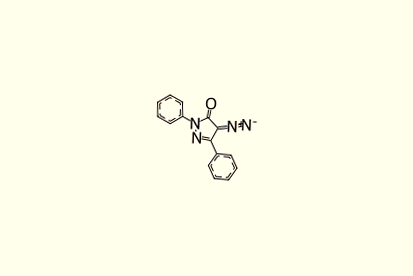 [N-]=[N+]=C1C(=O)N(c2ccccc2)N=C1c1ccccc1